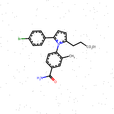 CCOC(=O)CCc1ccc(-c2ccc(Br)cc2)n1-c1ccc(C(N)=O)cc1C